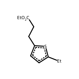 CCOC(=O)CCc1ccc(CC)s1